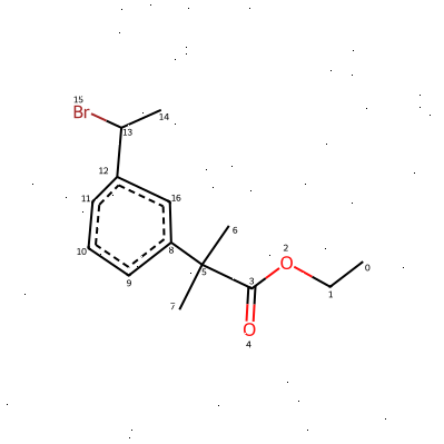 CCOC(=O)C(C)(C)c1cccc(C(C)Br)c1